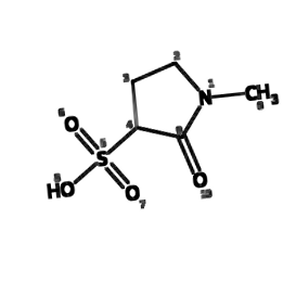 CN1CCC(S(=O)(=O)O)C1=O